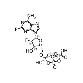 Nc1nc(F)nc2c1ncn2[C@@H]1O[C@H](COP(=O)(O)OP(=O)(O)OP(=O)(O)O)[C@@H](O)[C@H]1F